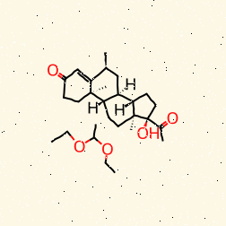 CC(=O)[C@@]1(O)CC[C@H]2[C@@H]3C[C@H](C)C4=CC(=O)CC[C@]4(C)[C@H]3CC[C@@]21C.CCOC(C)OCC